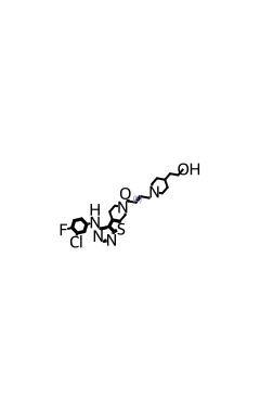 O=C(/C=C/CN1CCC(CCO)CC1)N1CCc2c(sc3ncnc(Nc4ccc(F)c(Cl)c4)c23)C1